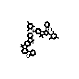 Cc1cc(C)c(-c2cc3c(c4c2oc2ccccc24)-c2ccc(N(c4ccc5c(c4)C(C)(C)c4cc6c(cc4-5)C(C)(C)c4ccc5oc7ccccc7c5c4-6)c4c(C)cc(C)cc4C)cc2C3(C)C)c(C)c1